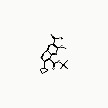 COc1nc2c(C(=O)OC(C)(C)C)c(C3CCC3)ccc2cc1C(=O)O